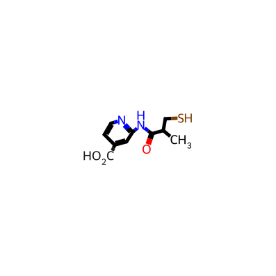 CC(CS)C(=O)Nc1cc(C(=O)O)ccn1